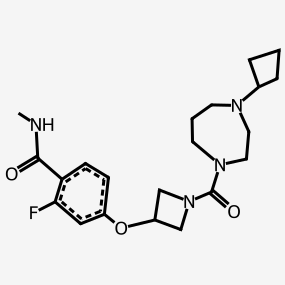 CNC(=O)c1ccc(OC2CN(C(=O)N3CCCN(C4CCC4)CC3)C2)cc1F